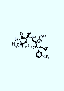 CC1(C)CN(C(=N)N/C=C(\C#N)C(=O)N(CC2CC2)c2cccc(C(F)(F)F)c2)C(=O)N1.Cl